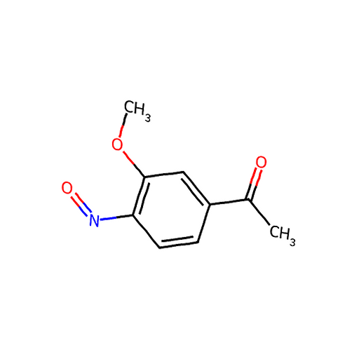 COc1cc(C(C)=O)ccc1N=O